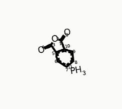 O=C1OC(=O)c2ccccc21.P